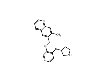 Cc1cc2nccnc2cc1CNc1cnccc1OC1CCNC1